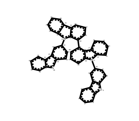 c1ccc2c(c1)oc1ccc(-n3c4ccccc4c4c(-c5cccc6c7ccccc7n(-c7ccc8sc9ccccc9c8c7)c56)cccc43)cc12